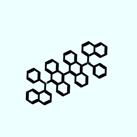 c1ccc([N+](c2cccc3ccccc23)c2c3ccccc3c(-c3c4ccccc4c([N+](c4ccccc4)c4cccc5ccccc45)c4ccccc34)c3ccccc23)cc1